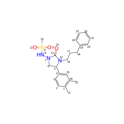 Cc1ccc(C2CN(NS(C)(=O)=O)C(=O)N2CCCc2ccccc2)cc1C